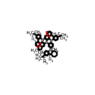 Cc1cc2c3c(c1)N(c1ccc(C(C)(C)C)cc1-c1ccccc1)c1cc4c(cc1B3c1cc(N3c5ccc(C(C)(C)C)cc5C5(C)CCCCCC35C)ccc1N2c1ccc(C(C)(C)C)cc1-c1ccccc1)CC(C)(C)C4